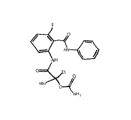 CCC(OC(N)=O)(C(=O)Nc1cccc(F)c1C(=O)Nc1ccccc1)C(C)(C)C